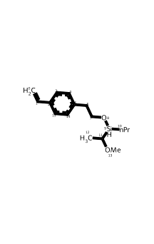 C=Cc1ccc(CCO[SiH](CCC)C(C)OC)cc1